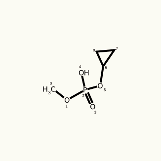 COP(=O)(O)OC1CC1